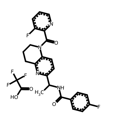 CC(NC(=O)c1ccc(F)cc1)c1ccc2c(n1)CCCN2C(=O)c1ncccc1F.O=C(O)C(F)(F)F